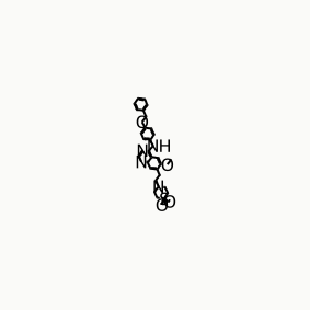 COc1cc2c(Nc3ccc(OCc4ccccc4)cc3)ncnc2cc1CCN1CCS(=O)(=O)CC1